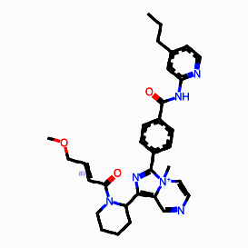 CCCc1ccnc(NC(=O)c2ccc(C3=NC(C4CCCCN4C(=O)/C=C/COC)=C4C=NC=C[N+]34C)cc2)c1